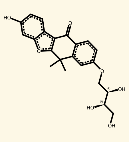 CC1(C)c2cc(OC[C@@H](O)[C@H](O)CO)ccc2C(=O)c2c1oc1cc(O)ccc21